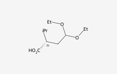 CCOC(C[C@H](C(=O)O)C(C)C)OCC